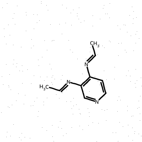 C/C=N/c1ccncc1/N=C/C